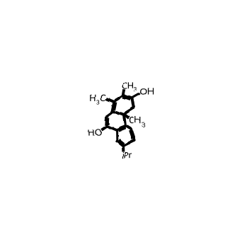 CC1=C(O)CC2(C)C(=C1C)C=C(O)c1cc(C(C)C)ccc12